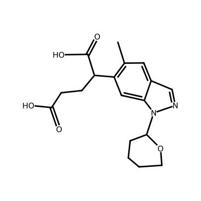 Cc1cc2cnn(C3CCCCO3)c2cc1C(CCC(=O)O)C(=O)O